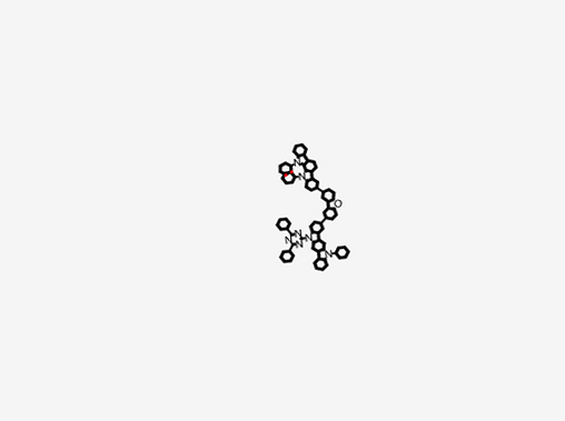 c1ccc(-c2nc(-c3ccccc3)nc(-n3c4ccc(-c5ccc6oc7ccc(-c8ccc9c(c8)c8ccc%10c%11ccccc%11n(-c%11ccccc%11)c%10c8n9-c8ccccc8)cc7c6c5)cc4c4cc5c(cc43)c3ccccc3n5-c3ccccc3)n2)cc1